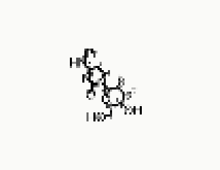 CC(C)Nc1ccn([C@@H]2O[C@H](CO)[C@H](O)[C@H](F)C2F)c(=O)n1